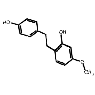 COc1ccc(CCc2ccc(O)cc2)c(O)c1